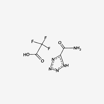 NC(=O)c1nnn[nH]1.O=C(O)C(F)(F)F